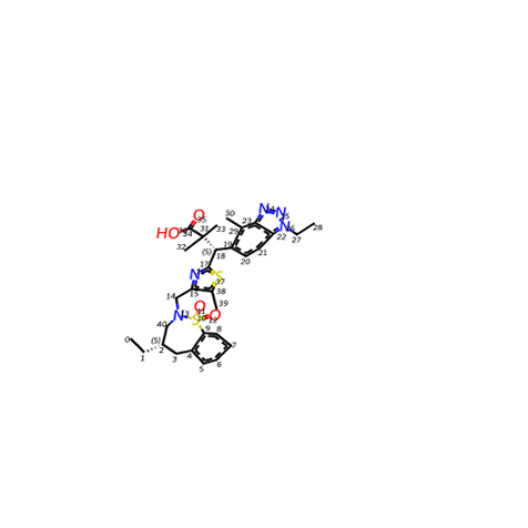 CC[C@H]1Cc2ccccc2S(=O)(=O)N(Cc2nc([C@@H](c3ccc4c(nnn4CC)c3C)C(C)(C)C(=O)O)sc2C)C1